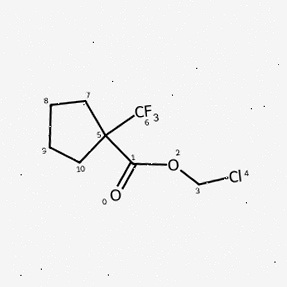 O=C(OCCl)C1(C(F)(F)F)CCCC1